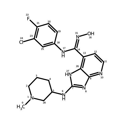 CN1CCCC(Nc2nc3nccc(/C(=N\O)Nc4ccc(F)c(Cl)c4)c3[nH]2)C1